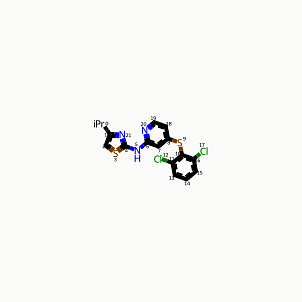 CC(C)c1csc(Nc2cc(Sc3c(Cl)cccc3Cl)ccn2)n1